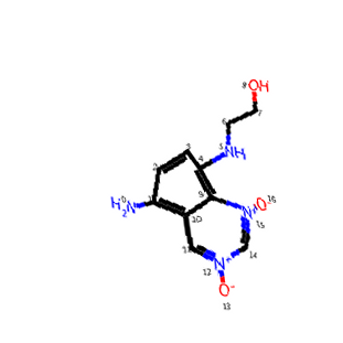 Nc1ccc(NCCO)c2c1c[n+]([O-])c[n+]2[O-]